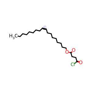 CCCCCCCC/C=C\CCCCCCCCOC(=O)CCC(=O)Cl